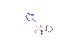 O=S(=O)(CCn1cncn1)NC1CCCC1